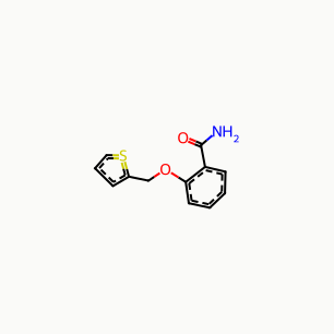 NC(=O)c1ccccc1OCc1cccs1